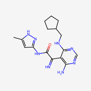 Cc1cc(NC(=O)C(=N)c2c(N)ncnc2NCC2CCCC2)n[nH]1